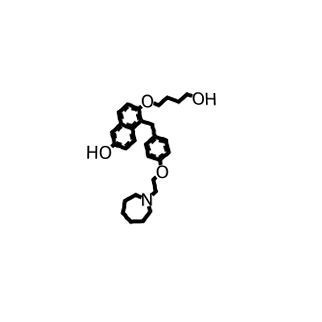 OCCCCOc1ccc2cc(O)ccc2c1Cc1ccc(OCCN2CCCCCC2)cc1